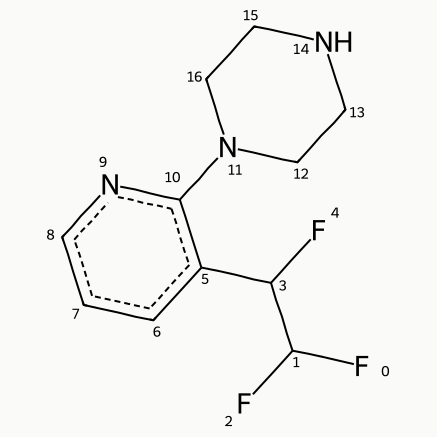 FC(F)C(F)c1cccnc1N1CCNCC1